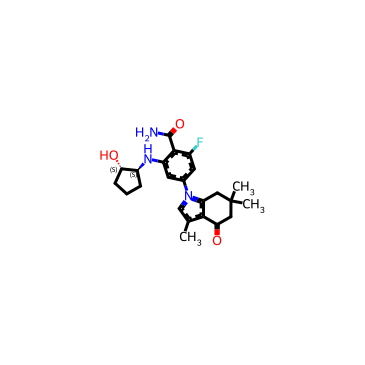 Cc1cn(-c2cc(F)c(C(N)=O)c(N[C@H]3CCC[C@@H]3O)c2)c2c1C(=O)CC(C)(C)C2